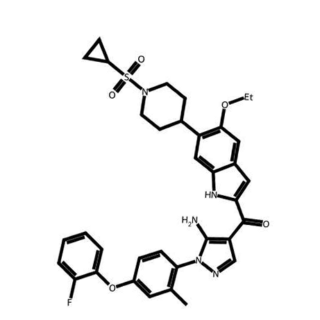 CCOc1cc2cc(C(=O)c3cnn(-c4ccc(Oc5ccccc5F)cc4C)c3N)[nH]c2cc1C1CCN(S(=O)(=O)C2CC2)CC1